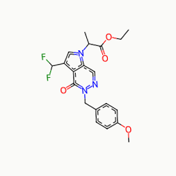 CCOC(=O)C(C)n1cc(C(F)F)c2c(=O)n(Cc3ccc(OC)cc3)ncc21